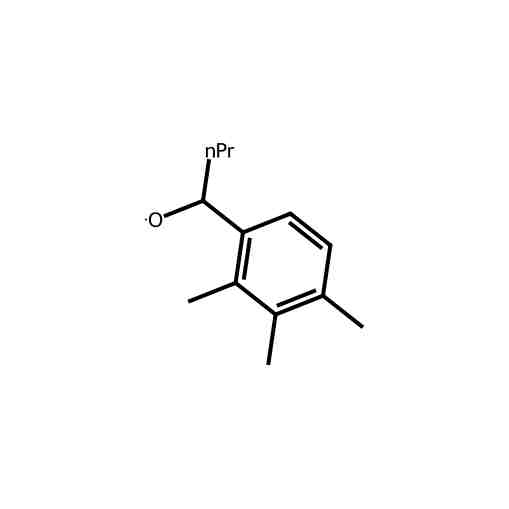 CCCC([O])c1ccc(C)c(C)c1C